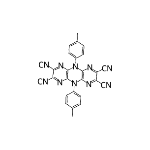 [C-]#[N+]c1nc2c(nc1[N+]#[C-])N(c1ccc(C)cc1)c1nc(C#N)c(C#N)nc1N2c1ccc(C)cc1